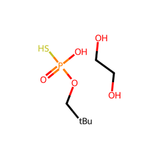 CC(C)(C)COP(=O)(O)S.OCCO